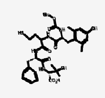 Cc1cc(O)cc(C)c1C[C@H](NC(=O)OC(C)(C)C)C(=O)NC(CCS)C(=O)N[C@@H](Cc1ccccc1)C(=O)N[C@@H](C(=O)O)C(C)(C)S